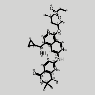 CCS(=O)(=O)[C@H](C)C[C@@H](C)Oc1ncc([C@H](N)C2CC2)c2cc(Nc3ccc4c(n3)[C@@H](C)C(C)(C)OC4=O)ncc12